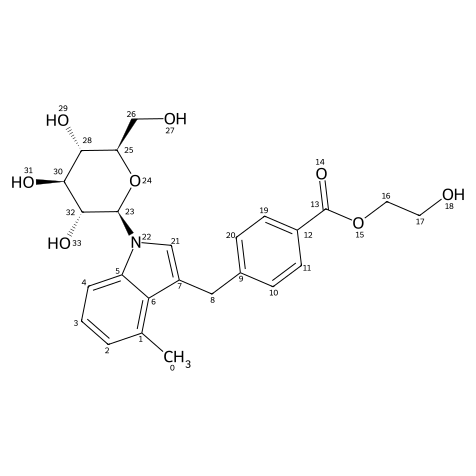 Cc1cccc2c1c(Cc1ccc(C(=O)OCCO)cc1)cn2[C@@H]1O[C@H](CO)[C@@H](O)[C@H](O)[C@H]1O